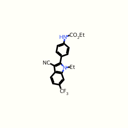 CCOC(=O)Nc1ccc(-c2c(C#N)c3ccc(C(F)(F)F)cc3n2CC)cc1